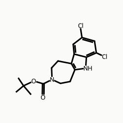 CC(C)(C)OC(=O)N1CCc2[nH]c3c(Cl)cc(Cl)cc3c2CC1